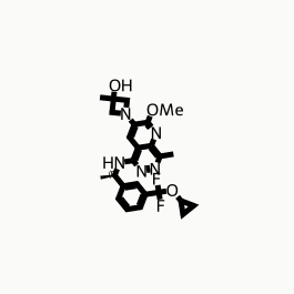 COc1nc2c(C)nnc(N[C@H](C)c3cccc(C(F)(F)OC4CC4)c3)c2cc1N1CC(C)(O)C1